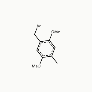 COc1cc(CC(C)=O)c(OC)cc1C